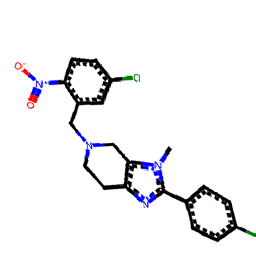 Cn1c(-c2ccc(F)cc2)nc2c1CN(Cc1cc(Cl)ccc1[N+](=O)[O-])CC2